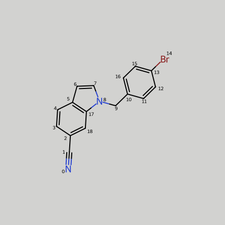 N#Cc1ccc2ccn(Cc3ccc(Br)cc3)c2c1